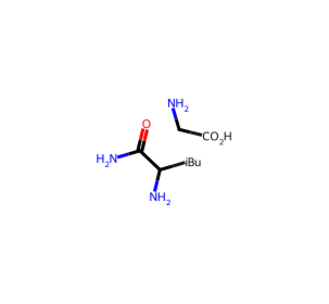 CCC(C)C(N)C(N)=O.NCC(=O)O